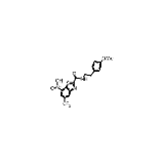 COc1ccc(CCNC(=O)c2nc3cc(C(F)(F)F)cc([N+](=O)O)c3s2)cc1